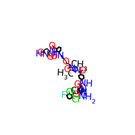 C[C@@H]1CN(C(=O)c2ccc(NC(=O)c3cc(O[C@H](C)c4c(Cl)ccc(F)c4Cl)c(N)nn3)cc2)C[C@H](C)N1C(=O)CCOCCNc1cccc2c1C(=O)N(C1CCC(=O)NC1=O)C2=O